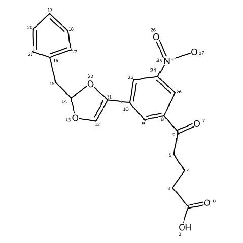 O=C(O)CCCC(=O)c1cc(C2=COC(Cc3ccccc3)O2)cc([N+](=O)[O-])c1